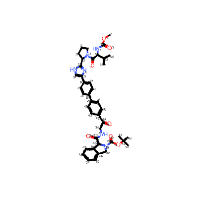 COC(=O)NC(C(=O)N1CCCC1c1nc(-c2ccc(-c3ccc(C(=O)CNC(=O)C4c5ccccc5CN4C(=O)OC(C)(C)C)cc3)cc2)c[nH]1)C(C)C